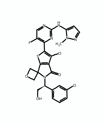 Cn1nccc1Nc1ncc(F)c(-c2sc3c(c2Cl)C(=O)N([C@H](CO)c2cccc(Cl)c2)C32COC2)n1